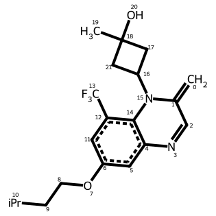 C=C1C=Nc2cc(OCCC(C)C)cc(C(F)(F)F)c2N1C1CC(C)(O)C1